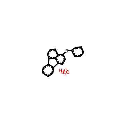 O.O.[B](c1ccccc1)c1ccc2c3c(cccc13)-c1ccccc1-2